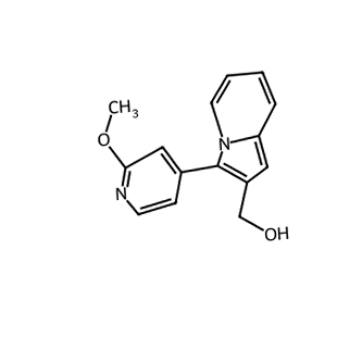 COc1cc(-c2c(CO)cc3ccccn23)ccn1